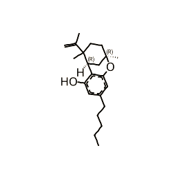 C=C(C)C1(C)CC[C@]2(C)C[C@H]1c1c(O)cc(CCCCC)cc1O2